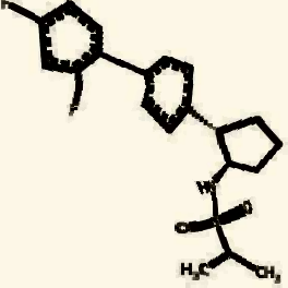 CC(C)S(=O)(=O)N[C@@H]1CCC[C@H]1c1ccc(-c2ccc(F)cc2F)cc1